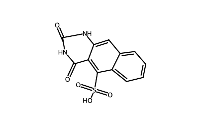 O=c1[nH]c(=O)c2c(S(=O)(=O)O)c3ccccc3cc2[nH]1